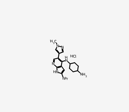 CCCc1cc2c(NC3CCC(N)CC3)c(-c3cnn(C)c3)cnc2[nH]1.Cl